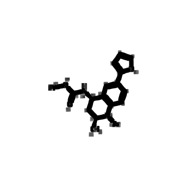 CC(=O)N1c2ccc(-c3ccco3)cc2[C@H](NC(=O)OC(C)C)C[C@@H]1C